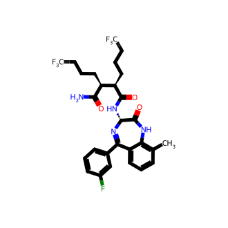 Cc1cccc2c1NC(=O)[C@@H](NC(=O)[C@H](CCCC(F)(F)F)[C@H](CCCC(F)(F)F)C(N)=O)N=C2c1cccc(F)c1